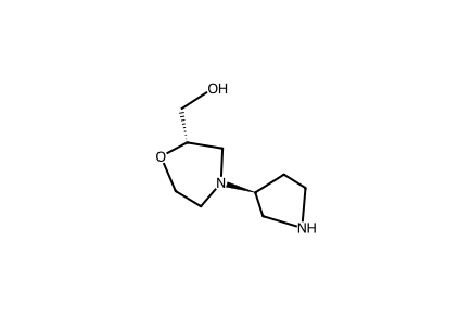 OC[C@@H]1CN([C@H]2CCNC2)CCO1